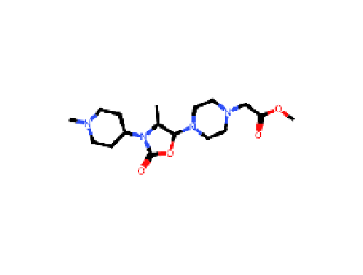 COC(=O)CN1CCN(C2OC(=O)N(C3CCN(C)CC3)C2C)CC1